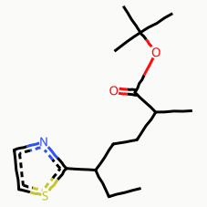 CCC(CCC(C)C(=O)OC(C)(C)C)c1nccs1